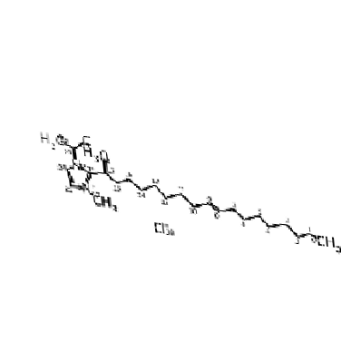 CCCCCCCCC=CCCCCCCCC(=O)c1n(C(C)C)cc[n+]1C.[Cl-]